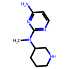 CN(c1nccc(N)n1)C1CCCNC1